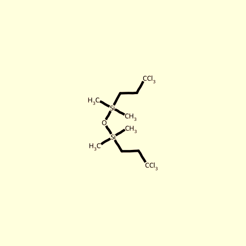 C[Si](C)(CCC(Cl)(Cl)Cl)O[Si](C)(C)CCC(Cl)(Cl)Cl